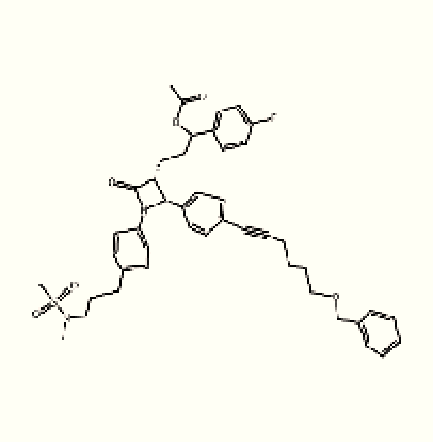 CC(=O)OC(CC[C@H]1C(=O)N(c2ccc(CCCN(C)S(C)(=O)=O)cc2)[C@@H]1c1ccc(C#CCCCCOCc2ccccc2)cc1)c1ccc(F)cc1